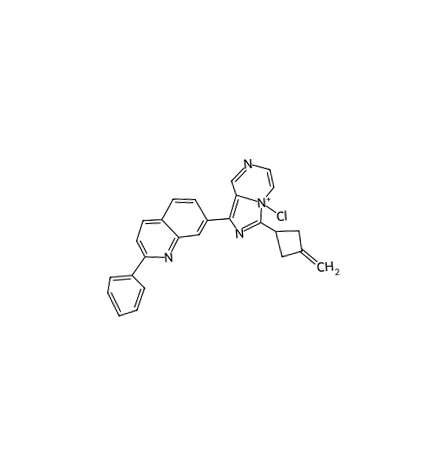 C=C1CC(C2=NC(c3ccc4ccc(-c5ccccc5)nc4c3)=C3C=NC=C[N+]23Cl)C1